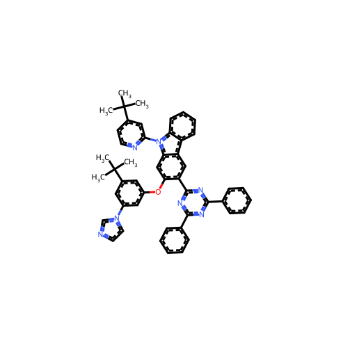 CC(C)(C)c1cc(Oc2cc3c(cc2-c2nc(-c4ccccc4)nc(-c4ccccc4)n2)c2ccccc2n3-c2cc(C(C)(C)C)ccn2)cc(-n2ccnc2)c1